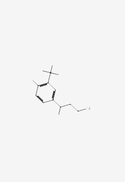 CC(CCN)c1ccc(F)c(C(C)(C)C)c1